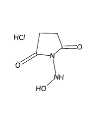 Cl.O=C1CCC(=O)N1NO